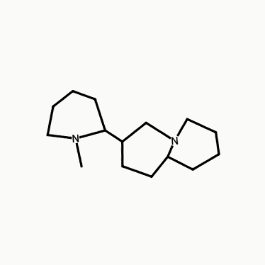 CN1CCCCC1C1CCC2CCCCN2C1